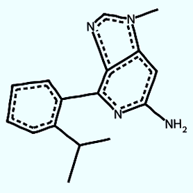 CC(C)c1ccccc1-c1nc(N)cc2c1ncn2C